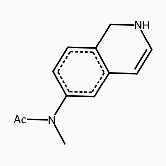 CC(=O)N(C)c1ccc2c(c1)C=CNC2